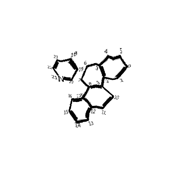 C1=CC2=C(CC1)CCc1c2ccc2ccccc12.c1ccncc1